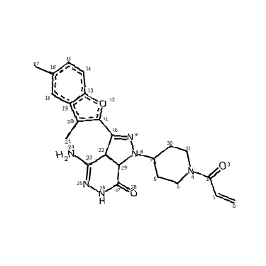 C=CC(=O)N1CCC(N2N=C(c3oc4ccc(C)cc4c3C)C3C(N)=NNC(=O)C32)CC1